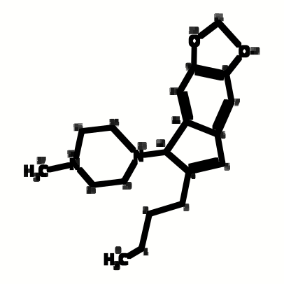 CCCCC1=Cc2cc3c(cc2C1N1CCN(C)CC1)OCO3